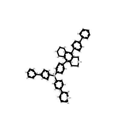 c1ccc(-c2ccc(-c3c4c(c(-c5ccc(N(c6ccc(-c7ccccc7)cc6)c6ccc(-c7ccccc7)cc6)cc5)c5c3CCCC5)CCCC4)cc2)cc1